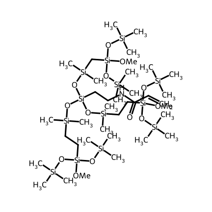 C=CC(=O)NCC[Si](O[Si](C)(C)CC[Si](OC)(O[Si](C)(C)C)O[Si](C)(C)C)(O[Si](C)(C)CC[Si](OC)(O[Si](C)(C)C)O[Si](C)(C)C)O[Si](C)(C)C[Si](OC)(O[Si](C)(C)C)O[Si](C)(C)C